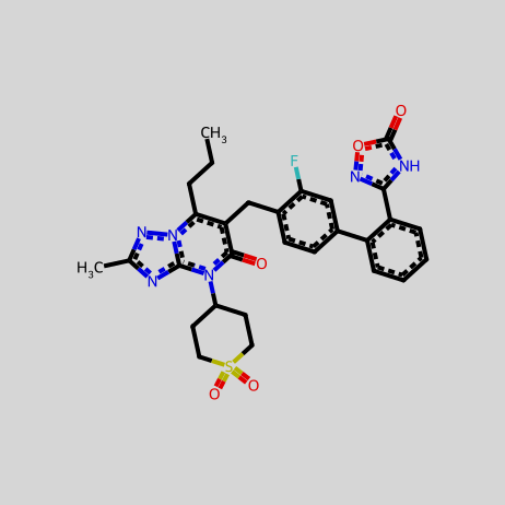 CCCc1c(Cc2ccc(-c3ccccc3-c3noc(=O)[nH]3)cc2F)c(=O)n(C2CCS(=O)(=O)CC2)c2nc(C)nn12